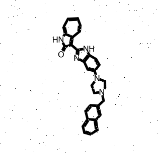 O=c1[nH]c2cccccc-2c1-c1nc2cc(N3CCN(Cc4ccc5ccccc5c4)CC3)ccc2[nH]1